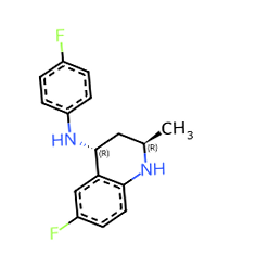 C[C@@H]1C[C@@H](Nc2ccc(F)cc2)c2cc(F)ccc2N1